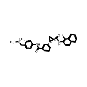 CN(C)Cc1ccc(NC(=O)c2cccc([C@@H]3C[C@H]3C(=O)Nc3ccc4ccccc4c3F)c2)cc1